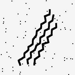 CCCCCCCCCCCC.CCCCCCCCCCCCCC.CCCCCCCCCCCCCCCC